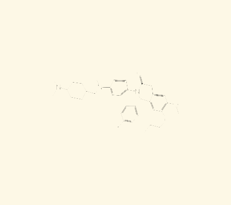 CC[C@@H](C)Oc1cc2c(cc1OC)CC(=O)N(c1ccc(N(C)CC3CCC(N(C)C)CC3)cc1)[C@H]2c1ccc(Cl)cc1